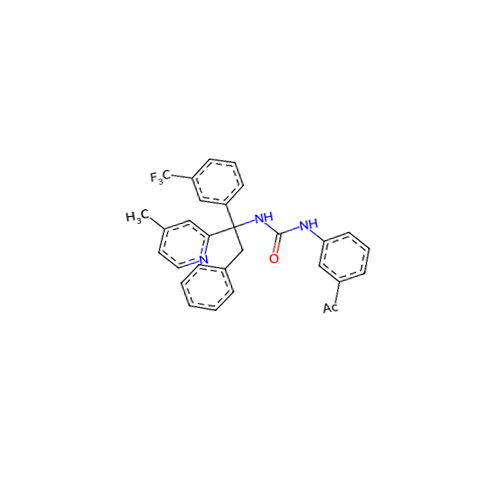 CC(=O)c1cccc(NC(=O)NC(Cc2ccccc2)(c2cccc(C(F)(F)F)c2)c2cc(C)ccn2)c1